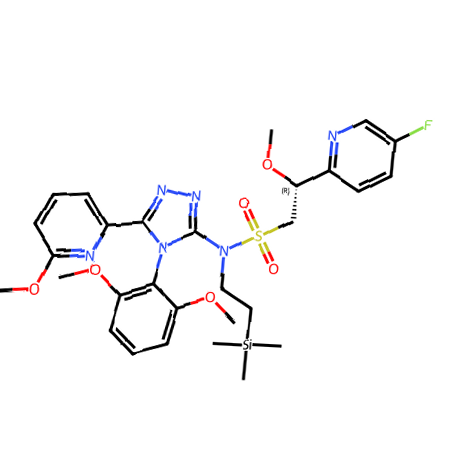 COc1cccc(-c2nnc(N(CC[Si](C)(C)C)S(=O)(=O)C[C@H](OC)c3ccc(F)cn3)n2-c2c(OC)cccc2OC)n1